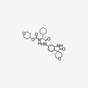 O=C(N[C@H](C(=O)Nc1ccc2c(c1)NC(=O)C21CCOCC1)C1CCCCC1)OC1CCOCC1